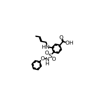 CC=CCNc1cc(C(=O)O)ccc1S(=O)(=O)NOc1ccccc1